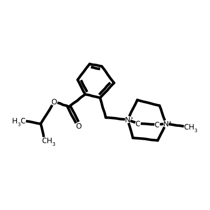 CC(C)OC(=O)c1ccccc1C[N+]12CC[N+](C)(CC1)CC2